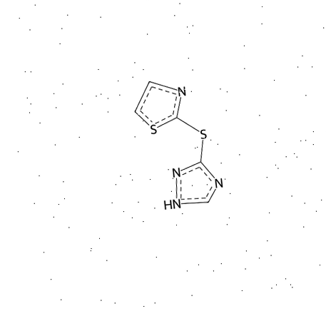 c1csc(Sc2nc[nH]n2)n1